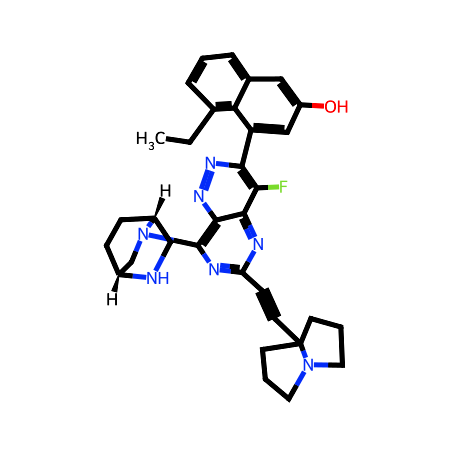 CCc1cccc2cc(O)cc(-c3nnc4c(N5C[C@H]6CC[C@@H]5CN6)nc(C#CC56CCCN5CCC6)nc4c3F)c12